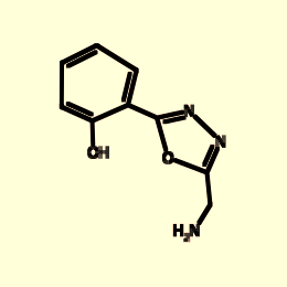 NCc1nnc(-c2ccccc2O)o1